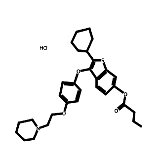 CCCC(=O)Oc1ccc2c(Oc3ccc(OCCN4CCCCC4)cc3)c(C3CCCCC3)sc2c1.Cl